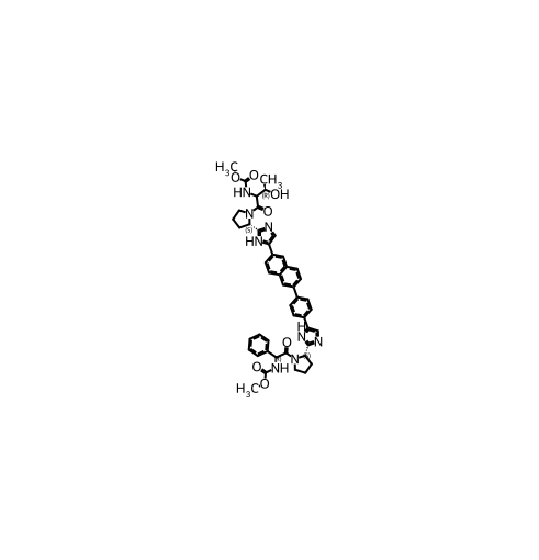 COC(=O)NC(C(=O)N1CCC[C@H]1c1ncc(-c2ccc3cc(-c4ccc(-c5cnc([C@@H]6CCCN6C(=O)[C@H](NC(=O)OC)c6ccccc6)[nH]5)cc4)ccc3c2)[nH]1)[C@@H](C)O